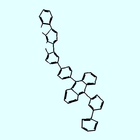 c1ccc(-c2cccc(-c3c4ccccc4c(-c4ccc(-c5ccc6oc7c(ccc8c9ccccc9oc87)c6c5)cc4)c4ccccc34)c2)cc1